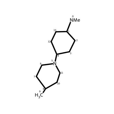 CNC1CCC(N2CCC(C)CC2)CC1